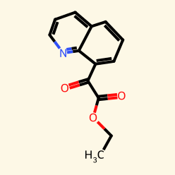 CCOC(=O)C(=O)c1cccc2cccnc12